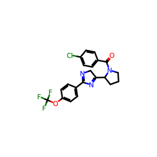 O=C(c1ccc(Cl)cc1)N1CCCC1C1=NC(c2ccc(OC(F)(F)F)cc2)=NC1